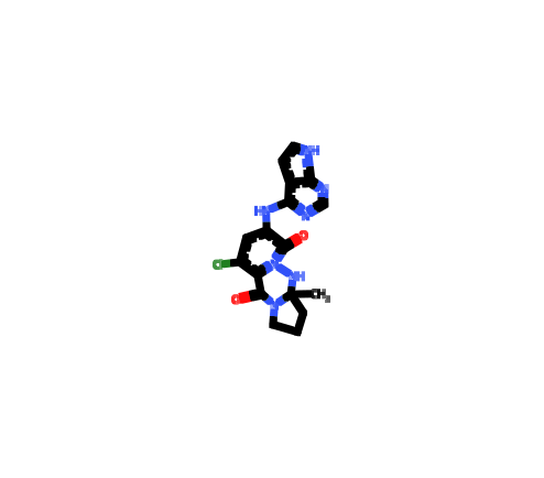 CC12CCCN1C(=O)c1c(Cl)cc(Nc3ncnc4[nH]ccc34)c(=O)n1N2